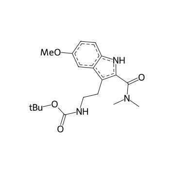 COc1ccc2[nH]c(C(=O)N(C)C)c(CCNC(=O)OC(C)(C)C)c2c1